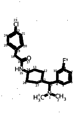 CN(C)C(c1cccc(F)c1)C1CCC(NC(=O)Cc2ccc(Cl)cc2)CC1